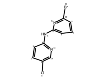 Clc1ccc(Nc2cccc(Br)n2)nc1